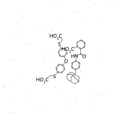 O=C(O)CSc1ccc(Oc2ccc(SCC(=O)O)cc2)cc1.O=C(O)c1ccccc1C(=O)Nc1ccc(C23CC4CC(CC(C4)C2)C3)cc1